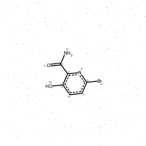 NC(=O)c1nc(Br)ccc1O